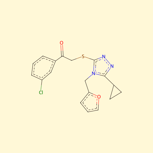 O=C(CSc1nnc(C2CC2)n1Cc1ccco1)c1cccc(Cl)c1